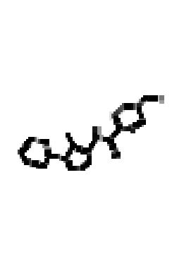 Cc1c(NC(=O)c2ncc(C=O)cn2)cccc1-c1ccccc1